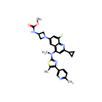 Cc1ccc(-c2nc(N(C)c3cc(C4CC4)nc4c(F)cc(N5CC(NC(=O)OC(C)(C)C)C5)cc34)sc2C#N)cn1